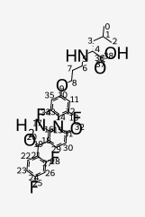 CC(C)C[C@@H](NCCCOc1cc(F)c(-n2c(N)c(C(=O)c3ccc(F)cc3F)ccc2=O)c(F)c1)C(=O)O